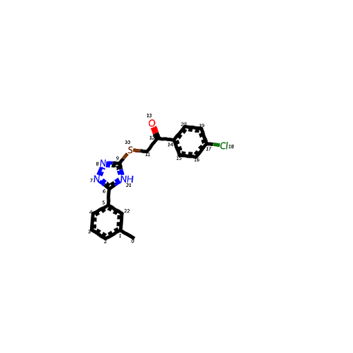 Cc1cccc(-c2nnc(SCC(=O)c3ccc(Cl)cc3)[nH]2)c1